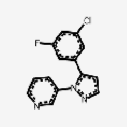 Fc1cc(Cl)cc(-c2ccnn2-c2cccnc2)c1